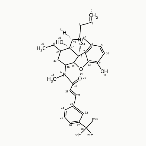 C=CCN1CC[C@]23c4c5ccc(O)c4OC2C(N(C)C(=O)/C=C/c2cccc(C(F)(F)F)c2)CC(CC)[C@@]3(O)[C@H]1C5